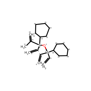 C=C[Si](C=C)(O[Si](C=C)(C(=C)C)C1CCCCC1)C1CCCCC1